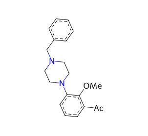 COc1c(C(C)=O)cccc1N1CCN(Cc2ccccc2)CC1